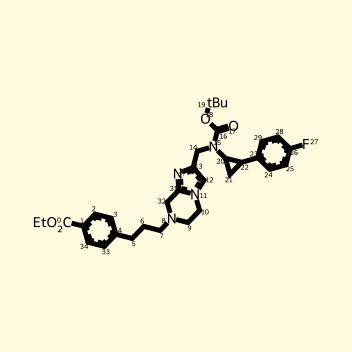 CCOC(=O)c1ccc(CCCN2CCn3cc(CN(C(=O)OC(C)(C)C)C4CC4c4ccc(F)cc4)nc3C2)cc1